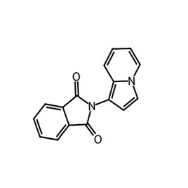 O=C1c2ccccc2C(=O)N1c1ccn2ccccc12